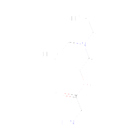 NCC(=O)OCCN(CC(=O)O)CC(=O)O